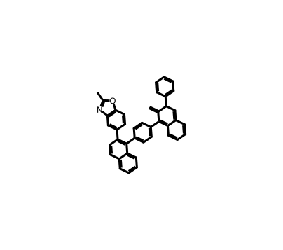 C=C1C(c2ccc(-c3c(-c4ccc5oc(C)nc5c4)ccc4ccccc34)cc2)=c2ccccc2=CC1c1ccccc1